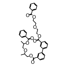 CC(COC(=O)c1cccc(-c2cccc(C(=O)OCCOCCOC(=O)c3ccccc3)c2)c1)OCC(C)OC(=O)c1ccccc1